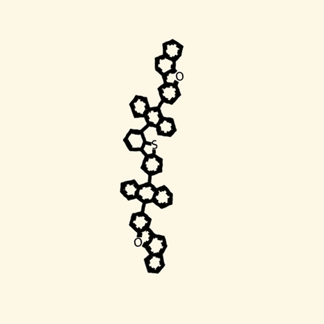 C1=CC2c3cc(-c4c5ccccc5c(-c5ccc6oc7c8ccccc8ccc7c6c5)c5ccccc45)ccc3SC2C(c2c3ccccc3c(-c3ccc4oc5c6ccccc6ccc5c4c3)c3ccccc23)=C1